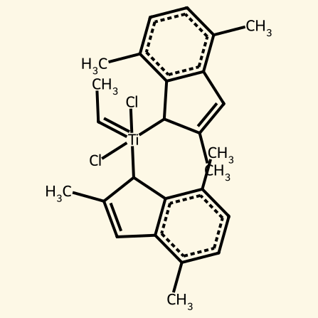 C[CH]=[Ti]([Cl])([Cl])([CH]1C(C)=Cc2c(C)ccc(C)c21)[CH]1C(C)=Cc2c(C)ccc(C)c21